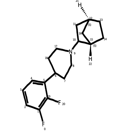 Fc1cccc(C2CCN(C3C[C@H]4CC[C@H]3C4)CC2)c1F